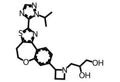 CC(C)n1ncnc1-c1nc2c(s1)CCOc1cc(C3CCN3CC(O)CO)ccc1-2